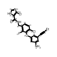 CCC#Cc1cc(N)cc(Oc2c(Cl)ccc(CNC(=O)c3[nH]cnc3Cl)c2F)c1